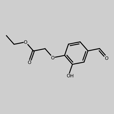 CCOC(=O)COc1ccc(C=O)cc1O